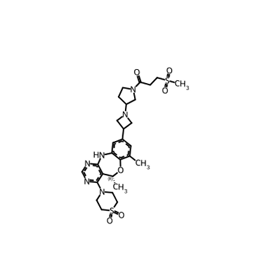 Cc1cc(C2CN(C3CCN(C(=O)CCS(C)(=O)=O)C3)C2)cc2c1O[C@H](C)c1c(ncnc1N1CCS(=O)(=O)CC1)N2